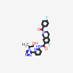 C[C@H](CO)n1cnnc1-c1cccc(NC(=O)c2cc3c(cc2F)CCN(C(=O)c2ccc(F)cc2)C3)n1